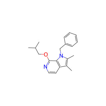 Cc1c(C)n(Cc2ccccc2)c2c(OCC(C)C)nccc12